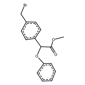 COC(=O)C(Oc1ccccc1)c1ccc(CBr)cc1